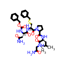 CC(C)C[C@H](NC(=O)C1CCCN1C(=O)[C@H](CSCc1ccccc1)NC(=O)[C@H](CC(N)=O)NC(=O)OCc1ccccc1)C(=O)NCC(N)=O